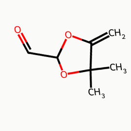 C=C1OC(C=O)OC1(C)C